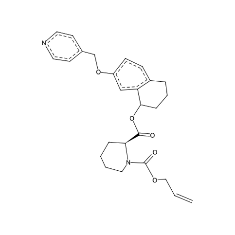 C=CCOC(=O)N1CCCC[C@H]1C(=O)OC1CCCc2ccc(OCc3ccncc3)cc21